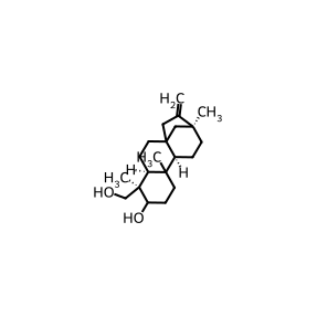 C=C1CC23CC[C@H]4C(C)(CCC(O)[C@@]4(C)CO)[C@@H]2CC[C@@]1(C)C3